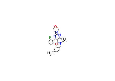 Cc1ccc(CN(C(=O)c2c(C)nc(N3CCOCC3)nc2-c2ccccc2F)C2CC2)cc1